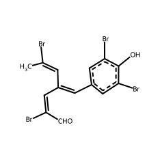 C\C(Br)=C/C(/C=C(/Br)C=O)=C\c1cc(Br)c(O)c(Br)c1